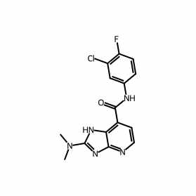 CN(C)c1nc2nccc(C(=O)Nc3ccc(F)c(Cl)c3)c2[nH]1